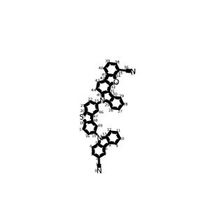 N#Cc1ccc2c(c1)c1ccccc1n2-c1ccc2sc3ccc(-n4c5ccccc5c5c6oc7c(C#N)cccc7c6ccc54)cc3c2c1